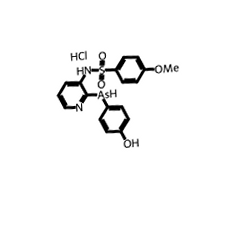 COc1ccc(S(=O)(=O)Nc2cccnc2[AsH]c2ccc(O)cc2)cc1.Cl